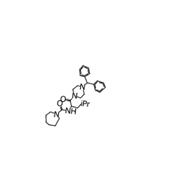 CC(C)CC(NC(=O)N1CCCCCC1)C(=O)N1CCN(C(c2ccccc2)c2ccccc2)CC1